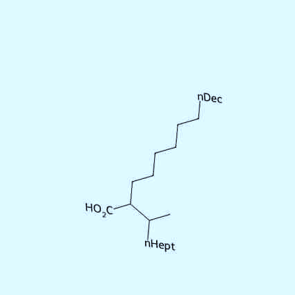 CCCCCCCCCCCCCCCCC(C(=O)O)C(C)CCCCCCC